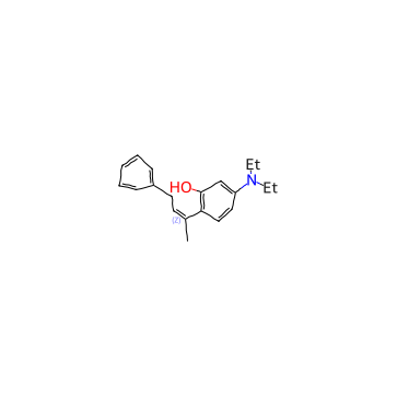 CCN(CC)c1ccc(/C(C)=C\Cc2ccccc2)c(O)c1